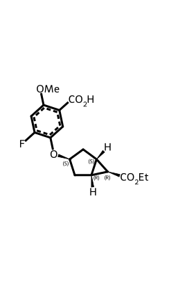 CCOC(=O)[C@H]1[C@@H]2C[C@@H](Oc3cc(C(=O)O)c(OC)cc3F)C[C@@H]21